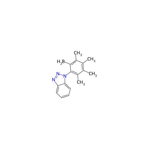 Bc1c(C)c(C)c(C)c(C)c1-n1nnc2ccccc21